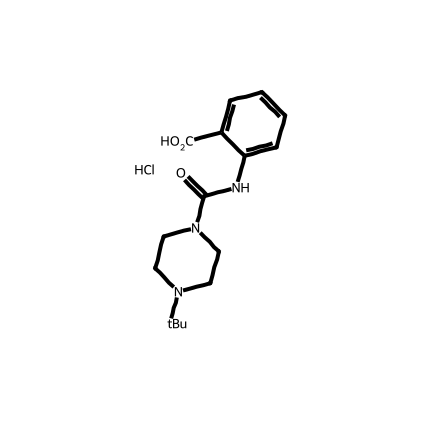 CC(C)(C)N1CCN(C(=O)Nc2ccccc2C(=O)O)CC1.Cl